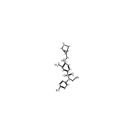 CCc1ccc(N(CC(C)C)S(=O)(=O)c2ccc(NCC3C4COCC34)c(N)c2)cc1